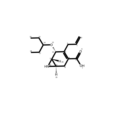 C=CCC1=C(C(=O)O)C[C@H]2N[C@@H]2[C@@H]1OC(CC)CC